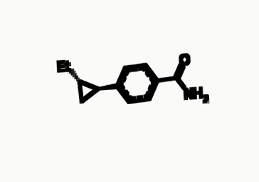 CC[C@H]1C[C@@H]1c1ccc(C(N)=O)cc1